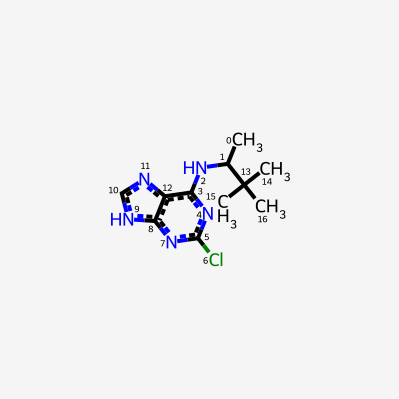 CC(Nc1nc(Cl)nc2[nH]cnc12)C(C)(C)C